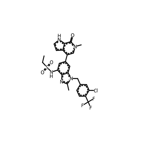 CCS(=O)(=O)Nc1cc(-c2cn(C)c(=O)c3[nH]ccc23)cc2c1nc(C)n2Cc1ccc(C(F)(F)F)c(Cl)c1